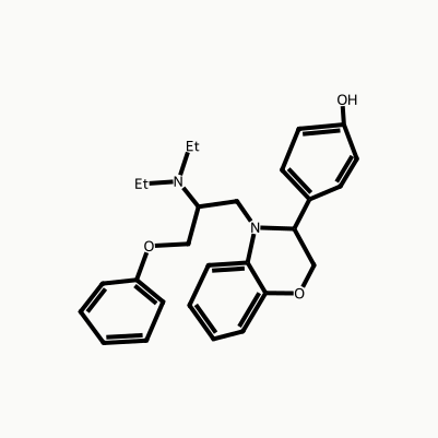 CCN(CC)C(COc1ccccc1)CN1c2ccccc2OCC1c1ccc(O)cc1